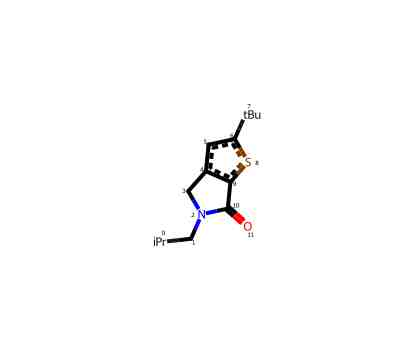 CC(C)CN1Cc2cc(C(C)(C)C)sc2C1=O